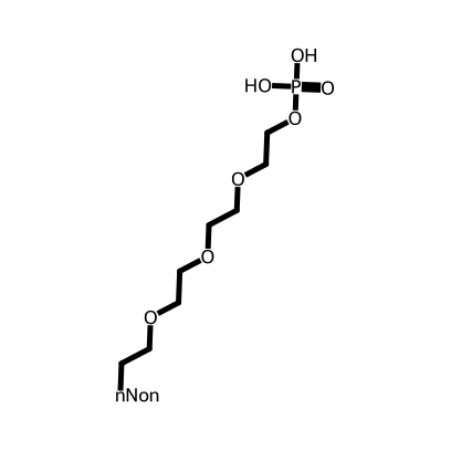 CCCCCCCCCCCOCCOCCOCCOP(=O)(O)O